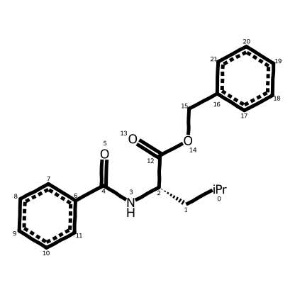 CC(C)C[C@H](NC(=O)c1ccccc1)C(=O)OCc1ccccc1